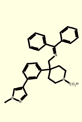 Cn1cc(-c2cccc(C3(CN=C(c4ccccc4)c4ccccc4)CCN(C(=O)O)CC3)c2)cn1